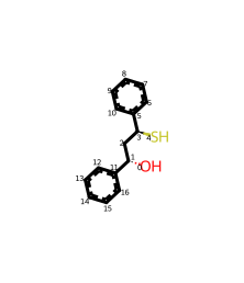 O[C@@H](C[C@H](S)c1ccccc1)c1ccccc1